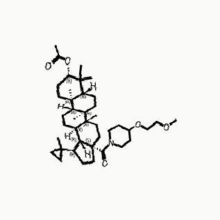 COCCOC1CCN(C(=O)[C@]23CC[C@@H](C4(C)CC4)[C@@H]2[C@H]2CC[C@@H]4[C@@]5(C)CC[C@H](OC(C)=O)C(C)(C)[C@@H]5CC[C@@]4(C)[C@]2(C)CC3)CC1